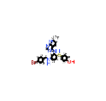 CC(C)c1ccc2c(Nc3cc(NCc4ccc(Br)cc4)ccc3Sc3ccc(O)cc3)ncnc2n1